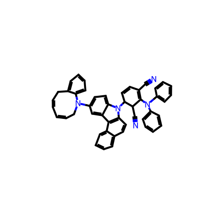 N#CC1=C(N(c2ccccc2)c2ccccc2)C(C#N)C(n2c3ccc(N4C/C=C\C=C/Cc5ccccc54)cc3c3c4ccccc4ccc32)C=C1